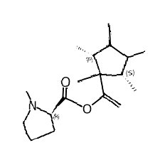 C=C(OC(=O)[C@H]1CCCN1C)C1(C)[C@H](C)C(C)C(C)[C@@H]1C